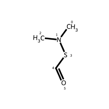 CN(C)SC=O